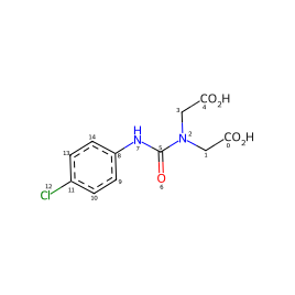 O=C(O)CN(CC(=O)O)C(=O)Nc1ccc(Cl)cc1